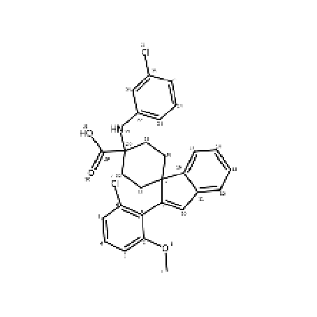 COc1cccc(Cl)c1C1=Cc2ccccc2C12CCC(Nc1cccc(Cl)c1)(C(=O)O)CC2